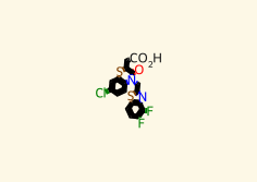 O=C(O)CC1Sc2cc(Cl)ccc2N(Cc2nc3c(F)c(F)ccc3s2)C1=O